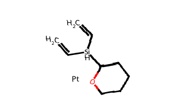 C=C[SiH](C=C)C1CCCCO1.[Pt]